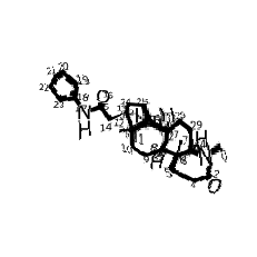 CN1C(=O)CC[C@]2(C)[C@H]3CC[C@]4(C)[C@@H](CC(=O)Nc5ccccc5)CC[C@H]4[C@@H]3CC[C@@H]12